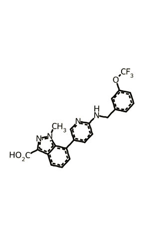 Cn1nc(C(=O)O)c2cccc(-c3ccc(NCc4cccc(OC(F)(F)F)c4)nc3)c21